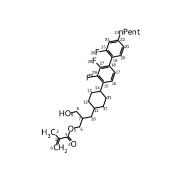 C=C(C)C(=O)OCC(CO)CC1CCC(c2ccc(-c3ccc(CCCCC)cc3F)c(F)c2F)CC1